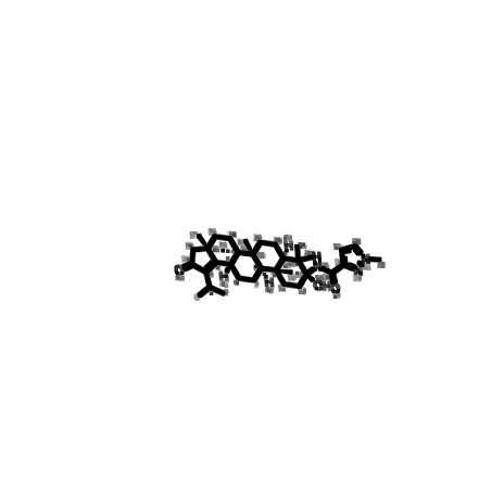 CC(C)C1=C2[C@H]3CC[C@@H]4[C@@]5(C)CC[C@@](O)(NC(=O)c6ccn(C)n6)C(C)(C)[C@@H]5CC[C@@]4(C)[C@]3(C)CC[C@@]2(C)CC1=O